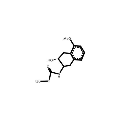 COc1cccc2c1C[C@@H](O)C(NC(=O)OC(C)(C)C)C2